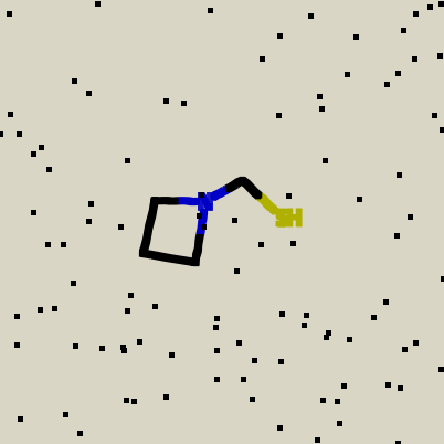 SCN1CCC1